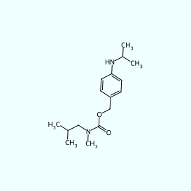 CC(C)CN(C)C(=O)OCc1ccc(NC(C)C)cc1